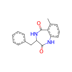 Cc1cccc2c1C(=O)NC(Cc1ccccc1)C(=O)N2